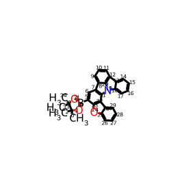 CC1(C)OB(c2cc3c4cccc5c6ccccc6n(c54)c3c3c2oc2ccccc23)OC1(C)C